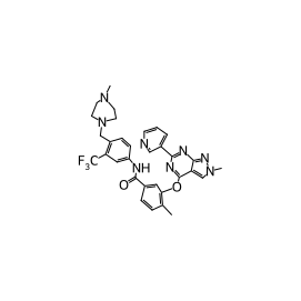 Cc1ccc(C(=O)Nc2ccc(CN3CCN(C)CC3)c(C(F)(F)F)c2)cc1Oc1nc(-c2cccnc2)nc2nn(C)cc12